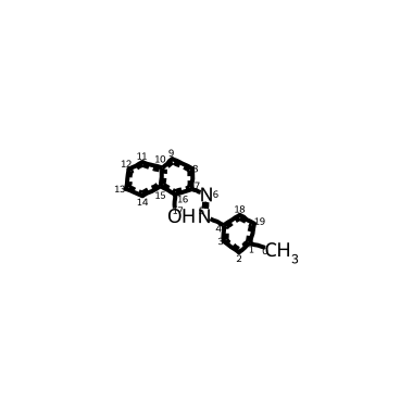 Cc1ccc(N=Nc2ccc3ccccc3c2O)cc1